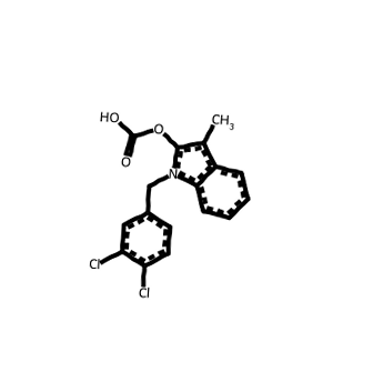 Cc1c(OC(=O)O)n(Cc2ccc(Cl)c(Cl)c2)c2ccccc12